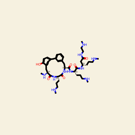 CNCCC[C@@H](CC(=O)NCCNC)NC(=O)[C@H](CCCNC)NC(=O)[C@@H]1Cc2cccc(c2)-c2ccc(O)c(c2)C[C@H](NC)C(=O)N[C@@H](CCCNC)C(=O)N1